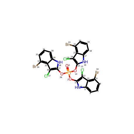 O=P(Oc1[nH]c2cccc(Br)c2c1Cl)(Oc1[nH]c2cccc(Br)c2c1Cl)Oc1[nH]c2cccc(Br)c2c1Cl